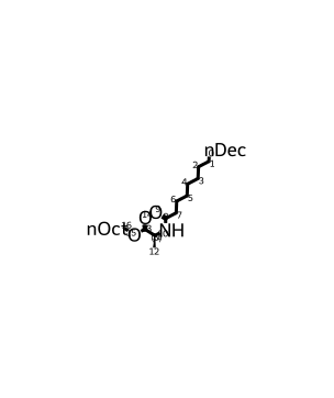 CCCCCCCCCCCCCCCCCC(=O)N[C@@H](C)C(=O)OCCCCCCCC